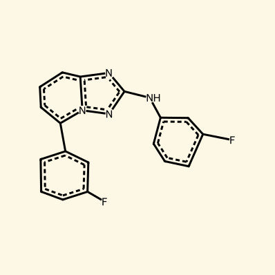 Fc1cccc(Nc2nc3cccc(-c4cccc(F)c4)n3n2)c1